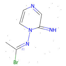 C/C(Br)=N\n1ccncc1=N